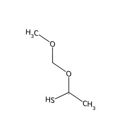 COCO[C](C)S